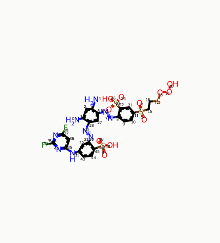 Nc1cc(N)c(/N=N/c2ccc(S(=O)(=O)CCSOOO)cc2S(=O)(=O)O)cc1/N=N/c1cc(Nc2cc(F)nc(F)n2)ccc1S(=O)(=O)O